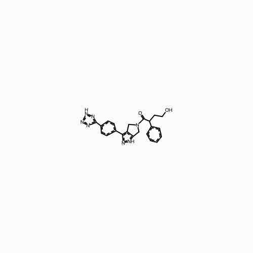 O=C(C(CCO)c1ccccc1)N1Cc2[nH]nc(-c3ccc(-c4nn[nH]n4)cc3)c2C1